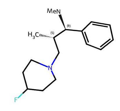 CN[C@@H](c1ccccc1)[C@@H](C)CN1CCC(F)CC1